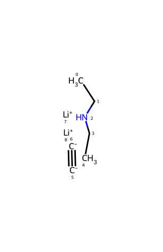 CCNCC.[C-]#[C-].[Li+].[Li+]